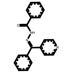 O=C(NN=C(c1ccccc1)c1ccncc1)c1ccccc1